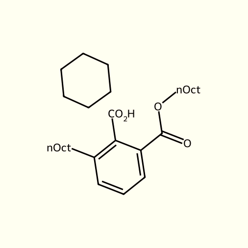 C1CCCCC1.CCCCCCCCOC(=O)c1cccc(CCCCCCCC)c1C(=O)O